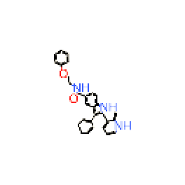 C=C1NC=CC=C1c1[nH]c2ccc(C(=O)NCCOc3ccccc3)cc2c1C1=CCCC=C1